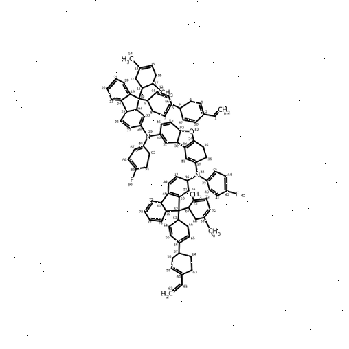 C=CC1=CCC(C2=CCC(C3(C4CC(C)=CCC4C)c4ccccc4C4C=CC(N(C5=CC6C7=C(CCC(N(c8ccc(F)cc8)C8C=CC9=C(C8)C(C8C=CC(C%10CC=C(C=C)CC%10)=CC8)(C8CC(C)=CC=C8C)C8C=CC=CC98)=C7)OC6C=C5)C5=CC=C(F)CC5)=CC43)C=C2)C=C1